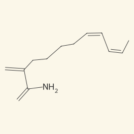 C=C(N)C(=C)CCCC/C=C\C=C/C